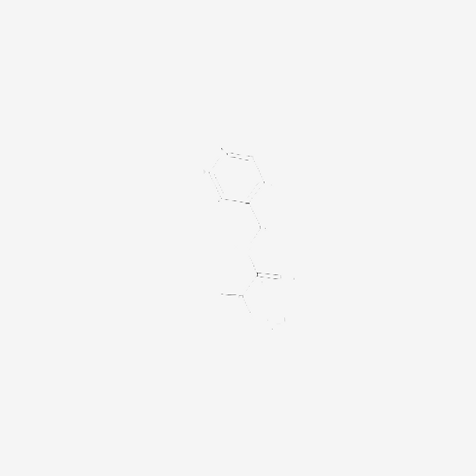 CCOC(=O)C(CC)C(=O)OCc1ccncc1